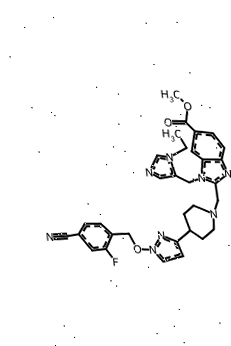 CCn1cncc1Cn1c(CN2CCC(c3ccn(OCc4ccc(C#N)cc4F)n3)CC2)nc2ccc(C(=O)OC)cc21